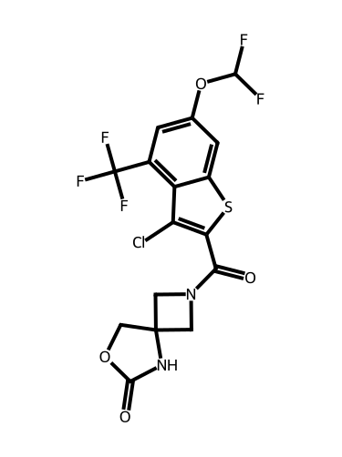 O=C1NC2(CO1)CN(C(=O)c1sc3cc(OC(F)F)cc(C(F)(F)F)c3c1Cl)C2